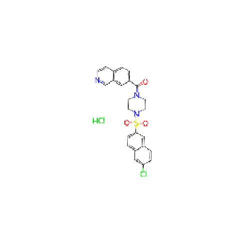 Cl.O=C(c1ccc2ccncc2c1)N1CCN(S(=O)(=O)c2ccc3cc(Cl)ccc3c2)CC1